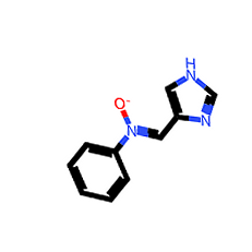 [O-][N+](=Cc1c[nH]cn1)c1ccccc1